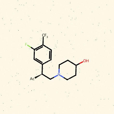 CC(=O)[C@H](CN1CCC(O)CC1)c1ccc(C(F)(F)F)c(F)c1